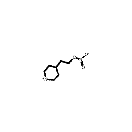 O=[N+]([O-])OCCC1CCNCC1